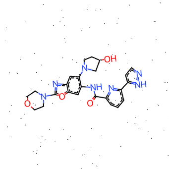 O=C(Nc1cc2oc(N3CCOCC3)nc2cc1N1CCC(O)C1)c1cccc(-c2ccn[nH]2)n1